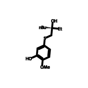 CCCC[C@](O)(CC)CSc1ccc(OC)c(O)c1